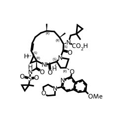 COc1ccc2c(O[C@@H]3C[C@H]4C(=O)N[C@]5(C(=O)NS(=O)(=O)C6(C)CC6)C[C@H]5C=CCC[C@@H](C)C[C@@H](C)[C@H](N(CC5(C)CC5)C(=O)O)C(=O)N4C3)nc(N3CCOCC3)cc2c1